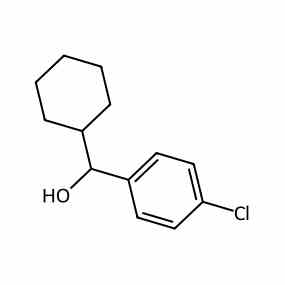 OC(c1ccc(Cl)cc1)C1CCCCC1